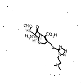 CN(C)CCn1nnnc1SCC1=C(C(=O)O)N2C(=O)[C@](N)(NC=O)[C@@H]2SC1